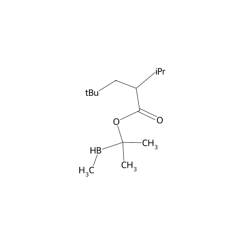 CBC(C)(C)OC(=O)C(CC(C)(C)C)C(C)C